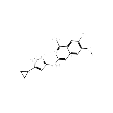 COc1cc2cc(Nc3cc(C4CC4)[nH]n3)nc(Cl)c2cc1F